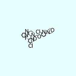 O=C(COc1ccc(N2CCOCC2)nc1Cl)N1CCc2nc3ccccn3c2C1c1ncc(Cl)cc1F